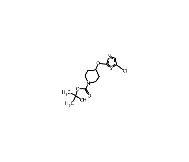 CC(C)(C)OC(=O)N1CCC(Oc2ncc(Cl)s2)CC1